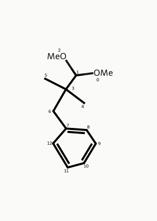 COC(OC)C(C)(C)Cc1ccccc1